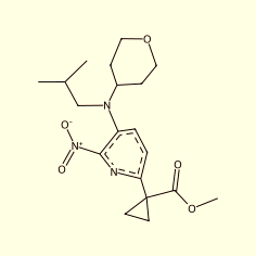 COC(=O)C1(c2ccc(N(CC(C)C)C3CCOCC3)c([N+](=O)[O-])n2)CC1